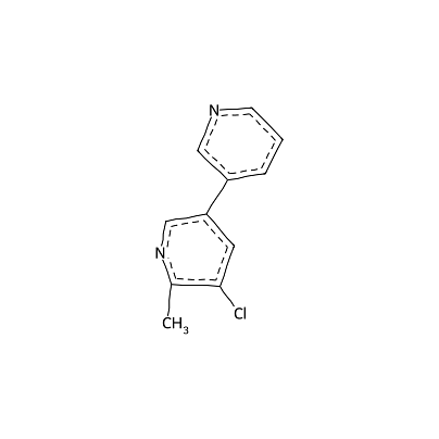 Cc1ncc(-c2cccnc2)cc1Cl